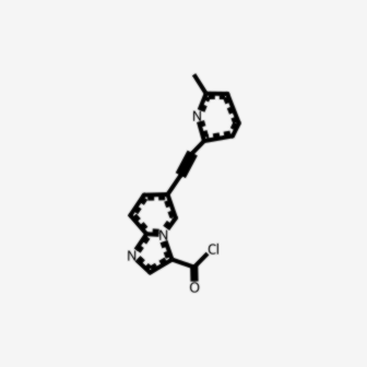 Cc1cccc(C#Cc2ccc3ncc(C(=O)Cl)n3c2)n1